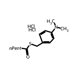 CCCCCC(=O)SCc1ccc(N(C)C)cc1.Cl.Cl